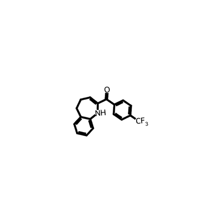 O=C(C1=CCCc2ccccc2N1)c1ccc(C(F)(F)F)cc1